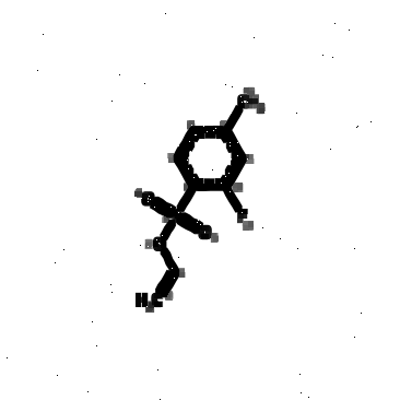 C=COS(=O)(=O)c1ccc(C)cc1F